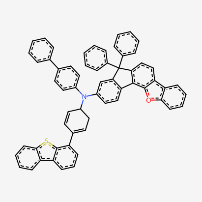 C1=CC(N(c2ccc(-c3ccccc3)cc2)c2ccc3c(c2)C(c2ccccc2)(c2ccccc2)c2ccc4c(oc5ccccc54)c2-3)CC=C1c1cccc2c1sc1ccccc12